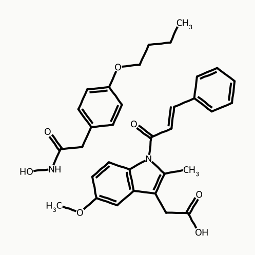 CCCCOc1ccc(CC(=O)NO)cc1.COc1ccc2c(c1)c(CC(=O)O)c(C)n2C(=O)/C=C/c1ccccc1